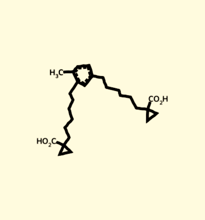 Cc1ccc(CCCCCCC2(C(=O)O)CC2)cc1CCCCCCC1(C(=O)O)CC1